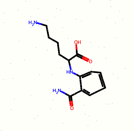 NCCCCC(Nc1ccccc1C(N)=O)C(=O)O